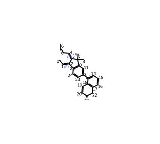 C/C=C1\C(=C/CI)C(C)(C)c2cc(-c3cccc4c3C=CCC4)ccc21